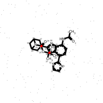 CC(=O)Nc1ccc(-c2nccs2)c2oc(N3CC4CC(C3)N4C(=O)OC(C)(C)C)nc12